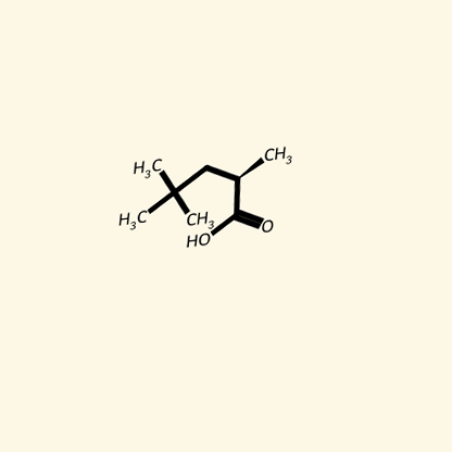 C[C@H](CC(C)(C)C)C(=O)O